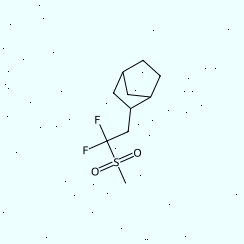 CS(=O)(=O)C(F)(F)CC1CC2CCC1C2